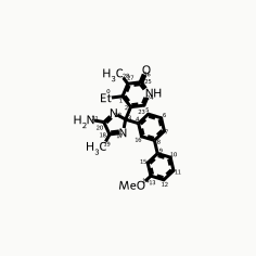 CCc1c(C2(c3cccc(-c4cccc(OC)c4)c3)N=C(C)C(N)=N2)c[nH]c(=O)c1C